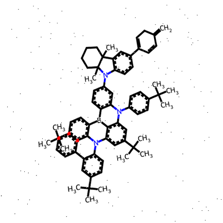 C=C1C=CC(c2ccc3c(c2)C2(C)CCCCC2(C)N3c2ccc3c(c2)N(c2ccc(C(C)(C)C)cc2)c2cc(C(C)(C)C)cc4c2B3c2ccc(C(C)(C)C)cc2N4c2ccc(C(C)(C)C)cc2-c2ccccc2)=CC1